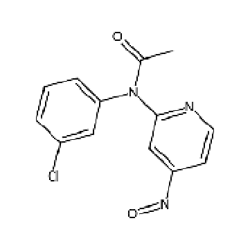 CC(=O)N(c1cccc(Cl)c1)c1cc(N=O)ccn1